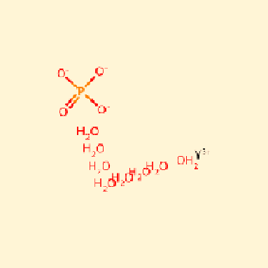 O.O.O.O.O.O.O.O.O=P([O-])([O-])[O-].[Y+3]